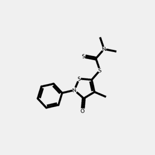 Cc1c(SC(=S)N(C)C)sn(-c2ccccc2)c1=O